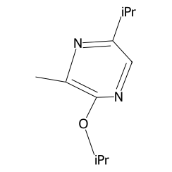 Cc1nc(C(C)C)cnc1OC(C)C